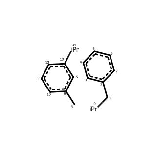 CC(C)Cc1ccccc1.Cc1cccc(C(C)C)c1